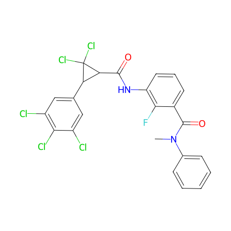 CN(C(=O)c1cccc(NC(=O)C2C(c3cc(Cl)c(Cl)c(Cl)c3)C2(Cl)Cl)c1F)c1ccccc1